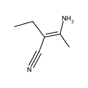 CC/C(C#N)=C(/C)N